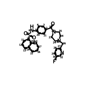 O=C(c1ccc(NS(=O)(=O)c2cccc3cccnc23)cc1)N1CCN(Cc2ccc(F)cn2)CC1